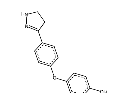 Oc1ccc(Oc2ccc(C3=NNCC3)cc2)cc1